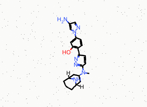 CN(c1ccc(-c2ccc(-n3cc(N)cn3)cc2O)nn1)[C@@H]1C[C@H]2CCC[C@@H](C1)N2